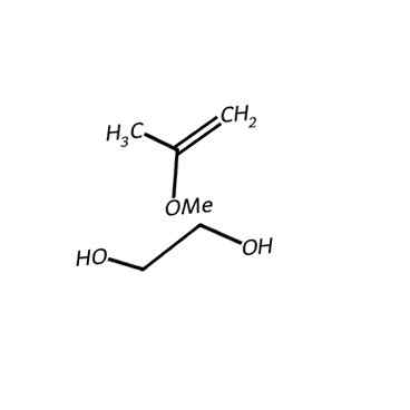 C=C(C)OC.OCCO